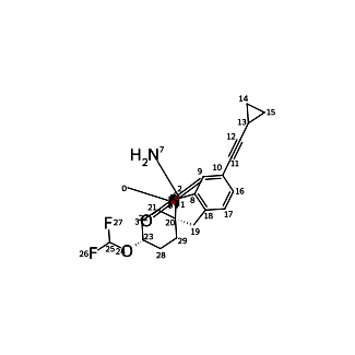 CN1C(=O)C2(N=C1N)c1cc(C#CC3CC3)ccc1C[C@]21CC[C@@H](OC(F)F)CC1